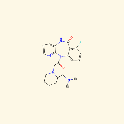 CCN(CC)CC1CCCCN1CC(=O)N1c2cccc(F)c2C(=O)Nc2cccnc21